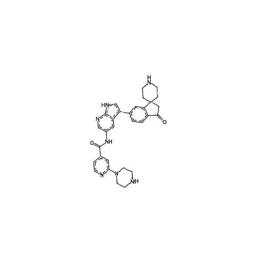 O=C(Nc1cnc2[nH]cc(-c3ccc4c(c3)C3(CCNCC3)CC4=O)c2c1)c1ccnc(N2CCNCC2)c1